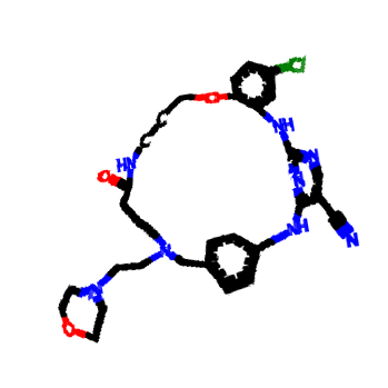 N#Cc1cnc2nc1Nc1ccc(cc1)CN(CCN1CCOCC1)CCC(=O)NCCCOc1ccc(Cl)cc1N2